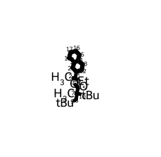 CCC(C)(OC(=O)C(C)(CC(C)(C)C)C(C)(C)C)c1ccc2ccccc2c1